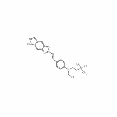 CCN(CC[N+](C)(C)C)c1ccc(N=Nc2nc3cc4[nH]ncc4cc3s2)cc1